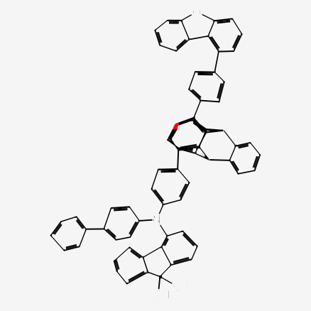 CC1(C)c2ccccc2-c2c(N(c3ccc(-c4ccccc4)cc3)c3ccc(-c4ccc(-c5ccc(-c6cccc7oc8ccccc8c67)cc5)c5c4C4c6ccccc6C5c5ccccc54)cc3)cccc21